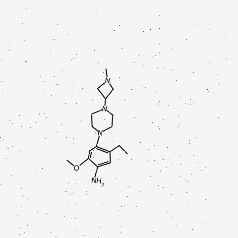 CCc1cc(N)c(OC)cc1N1CCN(C2CN(C)C2)CC1